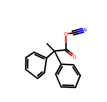 CC(C(=O)OC#N)(c1ccccc1)c1ccccc1